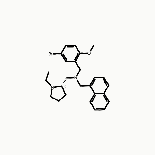 CCN1CCC[C@H]1CN(Cc1cc(Br)ccc1OC)Cc1cccc2ccccc12